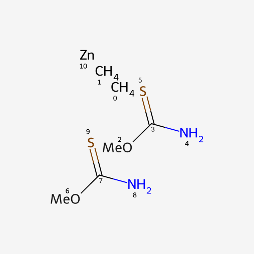 C.C.COC(N)=S.COC(N)=S.[Zn]